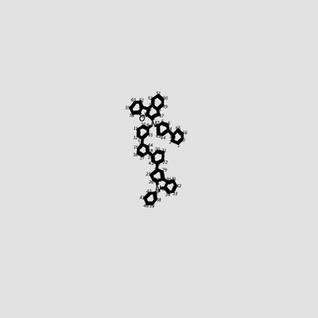 c1ccc(-c2ccc(N(c3cccc(-c4cccc(-c5cccc(-c6ccc7c(c6)c6ccccc6n7-c6ccccc6)c5)c4)c3)c3cc4ccccc4c4c3oc3ccccc34)cc2)cc1